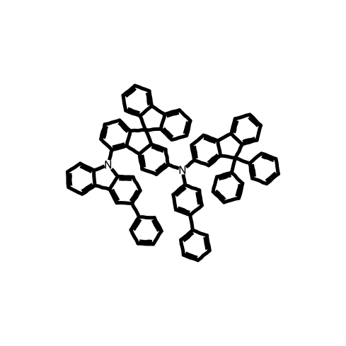 c1ccc(-c2ccc(N(c3ccc4c(c3)C(c3ccccc3)(c3ccccc3)c3ccccc3-4)c3ccc4c(c3)C3(c5ccccc5-c5ccccc53)c3cccc(-n5c6ccccc6c6cc(-c7ccccc7)ccc65)c3-4)cc2)cc1